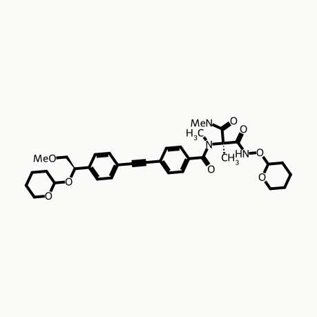 CNC(=O)[C@@](C)(C(=O)NOC1CCCCO1)N(C)C(=O)c1ccc(C#Cc2ccc([C@H](COC)OC3CCCCO3)cc2)cc1